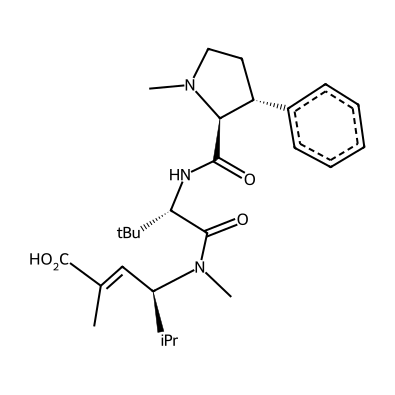 C/C(=C\[C@H](C(C)C)N(C)C(=O)[C@@H](NC(=O)[C@@H]1[C@@H](c2ccccc2)CCN1C)C(C)(C)C)C(=O)O